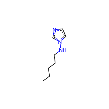 CCCCCNn1ccnc1